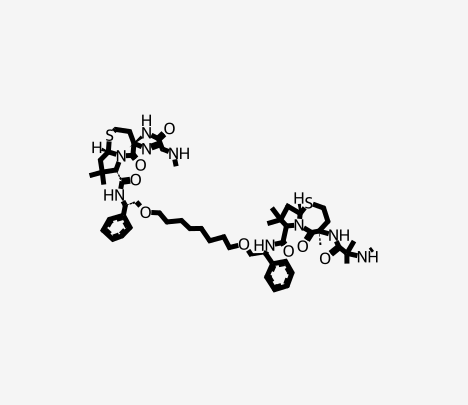 C=N[C@@]1(NC(=O)CNC)CCS[C@H]2CC(C)(C)[C@@H](C(=O)N[C@H](COCCCCCCCCOC[C@@H](NC(=O)C3N4C(=O)[C@](C)(NC(=O)C(C)(C)NC)CCS[C@H]4CC3(C)C)c3ccccc3)c3ccccc3)N2C1=O